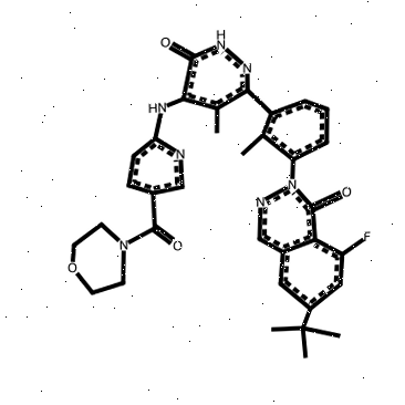 Cc1c(-c2n[nH]c(=O)c(Nc3ccc(C(=O)N4CCOCC4)cn3)c2C)cccc1-n1ncc2cc(C(C)(C)C)cc(F)c2c1=O